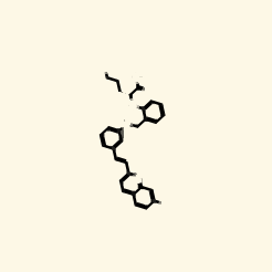 CCCC[C@H](Oc1ccccc1CNc1cccc(/C=C/c2ccc3ccc(Cl)cc3n2)c1)C(=O)O